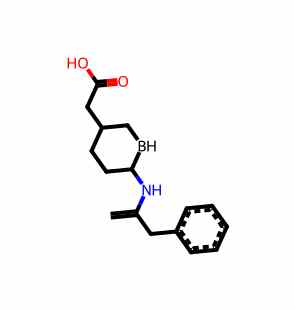 C=C(Cc1ccccc1)NC1BCC(CC(=O)O)CC1